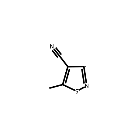 Cc1sn[c]c1C#N